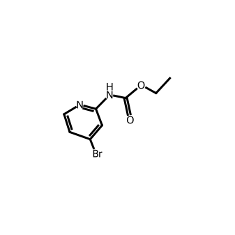 CCOC(=O)Nc1cc(Br)ccn1